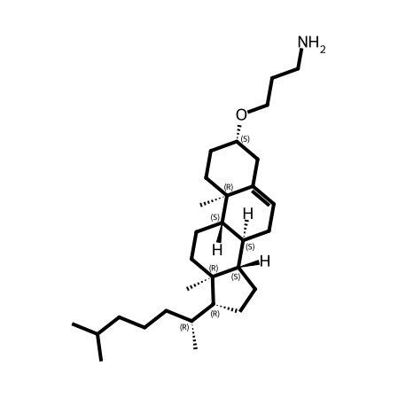 CC(C)CCC[C@@H](C)[C@H]1CC[C@H]2[C@@H]3CC=C4C[C@@H](OCCCN)CC[C@]4(C)[C@H]3CC[C@]12C